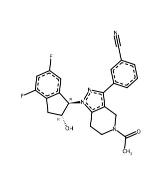 CC(=O)N1CCc2c(c(-c3cccc(C#N)c3)nn2[C@@H]2c3cc(F)cc(F)c3C[C@H]2O)C1